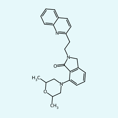 CC1CN(c2cccc3c2C(=O)N(CCc2ccc4ccccc4n2)C3)CC(C)O1